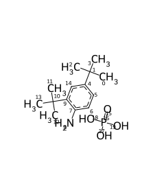 CC(C)(C)c1ccc(N)c(C(C)(C)C)c1.O=P(O)(O)O